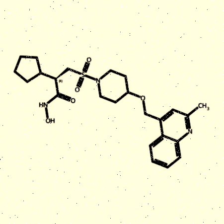 Cc1cc(COC2CCN(S(=O)(=O)C[C@@H](C(=O)NO)C3CCCC3)CC2)c2ccccc2n1